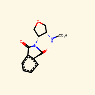 O=C(O)N[C@H]1COC[C@H]1N1C(=O)c2ccccc2C1=O